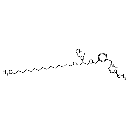 CCCCCCCCCCCCCCCCOCC(COCc1cccc(CN2[CH]N(C)C=C2)c1)OCC